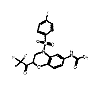 O=C(O)Nc1ccc2c(c1)N(S(=O)(=O)c1ccc(F)cc1)CC(C(=O)C(F)(F)F)O2